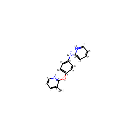 CCc1cccnc1Oc1ccc(Nc2ccccn2)cc1